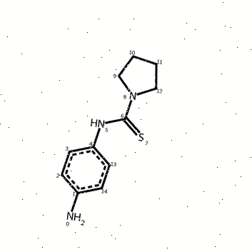 Nc1ccc(NC(=S)N2CCCC2)cc1